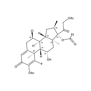 CCC(=O)O[C@@]1(C(=O)COC(C)=O)[C@H](C)C[C@H]2[C@H]3[C@H]([C@@H](O)C[C@@]21C)[C@]1(C)C(=CC(=O)C(OC(C)=O)=C1F)C[C@H]3Cl